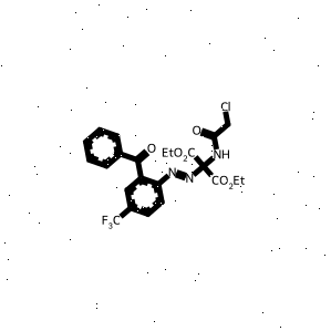 CCOC(=O)C(N=Nc1ccc(C(F)(F)F)cc1C(=O)c1ccccc1)(NC(=O)CCl)C(=O)OCC